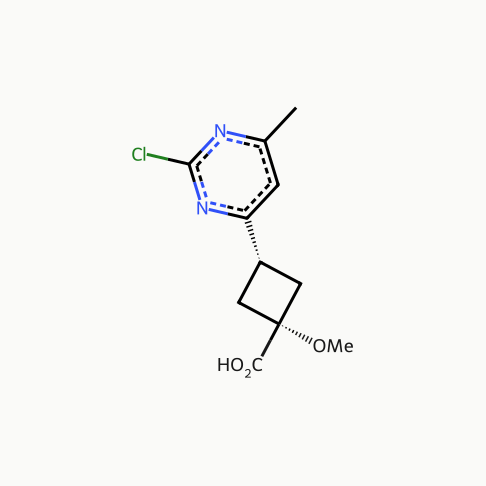 CO[C@]1(C(=O)O)C[C@H](c2cc(C)nc(Cl)n2)C1